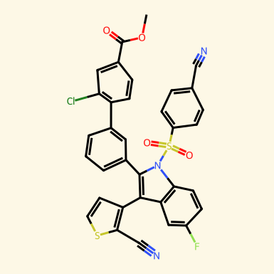 COC(=O)c1ccc(-c2cccc(-c3c(-c4ccsc4C#N)c4cc(F)ccc4n3S(=O)(=O)c3ccc(C#N)cc3)c2)c(Cl)c1